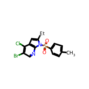 CCc1cc2c(Cl)c(Br)cnc2n1S(=O)(=O)c1ccc(C)cc1